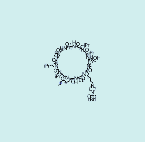 C/C=C/C[C@@H](C)C[C@H]1C(=O)N[C@@H](CC)C(=O)N(C)[C@H](CSCCCN2CCN(C(=O)OC(C)(C)C)CC2)C(=O)N(C)[C@@H](CC(C)(C)O)C(=O)N[C@H](C(C)C)C(=O)N(C)[C@H](CC(C)C)C(=O)N[C@H](C)C(=O)N[C@@H](C)C(=O)N(C)[C@@H](CC(C)C)C(=O)N(C)[C@@H](CCC(C)C)C(=O)N(C)[C@@H](C(C)C)C(=O)N1C